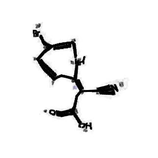 N#C/C(C(=O)O)=C1/C=CC(Br)=CN1